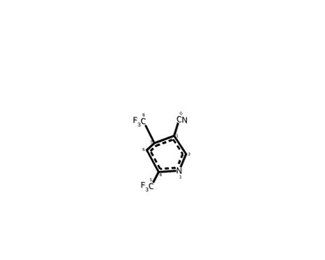 N#Cc1cnc(C(F)(F)F)cc1C(F)(F)F